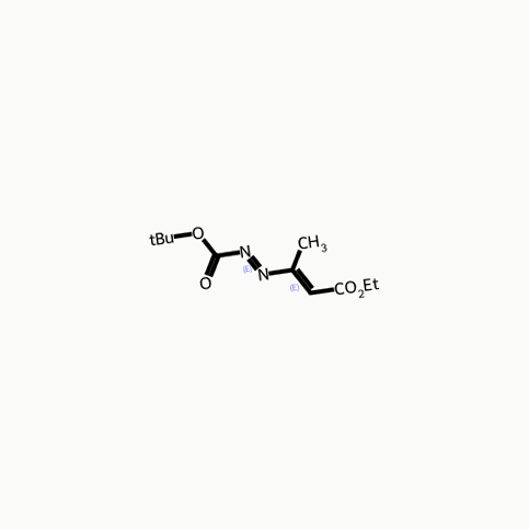 CCOC(=O)/C=C(C)/N=N/C(=O)OC(C)(C)C